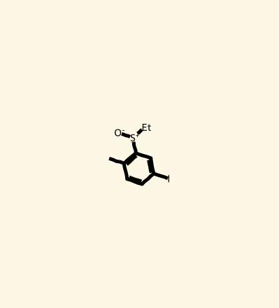 CC[S+]([O-])c1cc(I)ccc1C